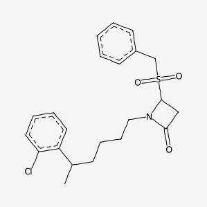 CC(CCCCN1C(=O)CC1S(=O)(=O)Cc1ccccc1)c1ccccc1Cl